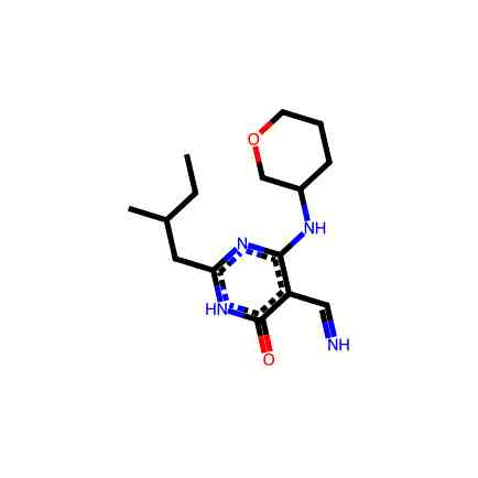 CCC(C)Cc1nc(NC2CCCOC2)c(C=N)c(=O)[nH]1